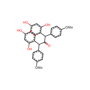 COc1ccc(C(C(=O)C(c2ccc(OC)cc2)c2ccc(O)cc2O)c2ccc(O)cc2O)cc1